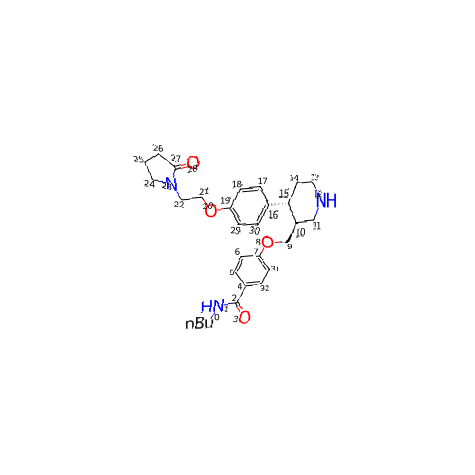 CCCCNC(=O)c1ccc(OC[C@@H]2CNCC[C@H]2c2ccc(OCCN3CCCC3=O)cc2)cc1